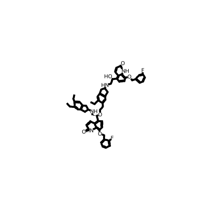 CCc1cc2c(cc1CC)CC(NC[C@H](OCCc1cc3c(cc1CC)CC(NC[C@H](O)c1ccc(OCc4cccc(F)c4)c4[nH]c(=O)ccc14)C3)c1ccc(OCc3ccccc3F)c3[nH]c(=O)ccc13)C2